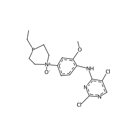 CCP1CC[N+]([O-])(c2ccc(Nc3nc(Cl)ncc3Cl)c(OC)c2)CC1